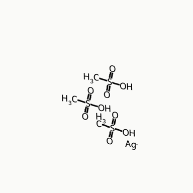 CS(=O)(=O)O.CS(=O)(=O)O.CS(=O)(=O)O.[Ag]